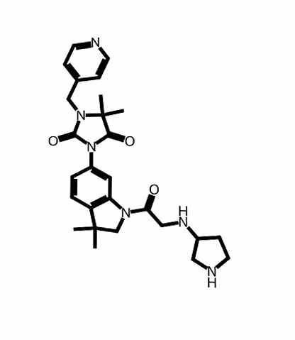 CC1(C)CN(C(=O)CNC2CCNC2)c2cc(N3C(=O)N(Cc4ccncc4)C(C)(C)C3=O)ccc21